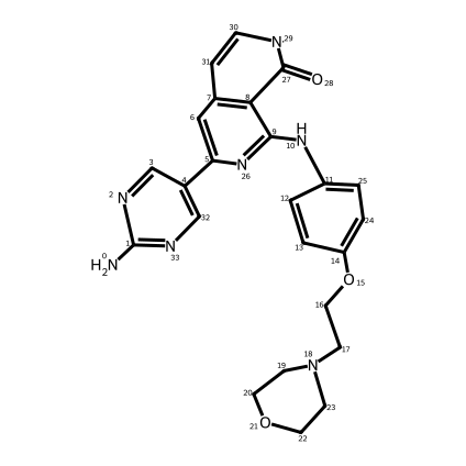 Nc1ncc(-c2cc3c(c(Nc4ccc(OCCN5CCOCC5)cc4)n2)C(=O)[N]C=C3)cn1